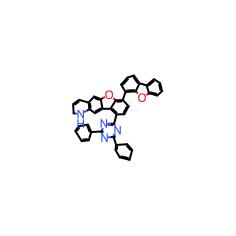 C1=Cc2cc3oc4c(-c5cccc6c5oc5ccccc56)ccc(-c5nc(-c6ccccc6)nc(-c6ccccc6)n5)c4c3cc2NC1